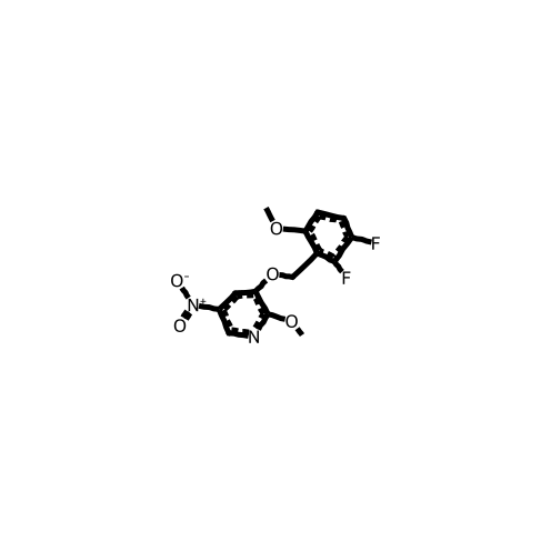 COc1ccc(F)c(F)c1COc1cc([N+](=O)[O-])cnc1OC